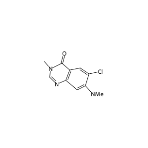 CNc1cc2ncn(C)c(=O)c2cc1Cl